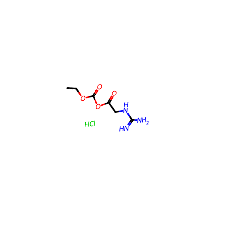 CCOC(=O)OC(=O)CNC(=N)N.Cl